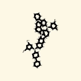 Fc1cc(F)cc(N(c2ccc(-c3ccccc3)cc2)c2ccc3cc4c5ccc(N(c6ccc(-c7ccccc7)cc6)c6cc(F)cc(F)c6)c6c7c8ccccc8ccc7n(c4cc3c2)c56)c1